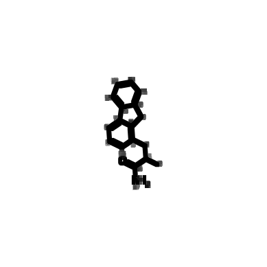 CC(Cc1cccc2c1Cc1ccccc1-2)C(N)=O